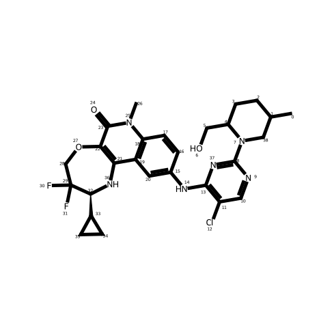 CC1CCC(CO)N(c2ncc(Cl)c(Nc3ccc4c(c3)c3c(c(=O)n4C)OCC(F)(F)[C@H](C4CC4)N3)n2)C1